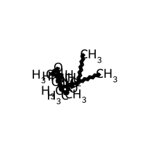 CCCCCCCCCCC(CCCCCCCC)COC(=O)NC1CC(C)(C)CC(C)(CNC(=O)N(N)c2nc(=O)cc(C)[nH]2)C1